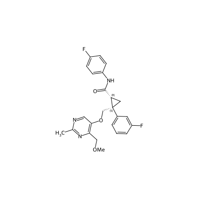 COCc1nc(C)ncc1OC[C@@]1(c2cccc(F)c2)C[C@H]1C(=O)Nc1ccc(F)cc1